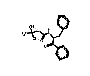 CC(C)(C)OC(=O)N[C@@H](Cc1ccccc1)C(=O)c1ccccc1